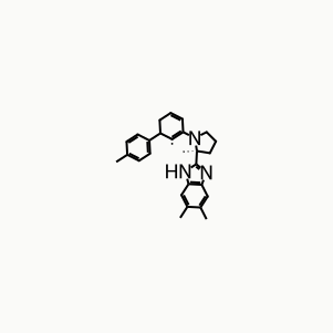 Cc1ccc(C2[C]=C(N3CCC[C@@]3(C)c3nc4cc(C)c(C)cc4[nH]3)C=CC2)cc1